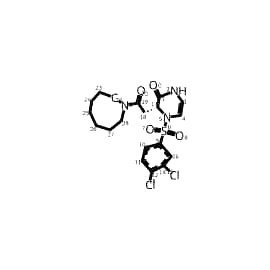 O=C1NC=CN(S(=O)(=O)c2ccc(Cl)c(Cl)c2)[C@@H]1CC(=O)N1CCCCCCC1